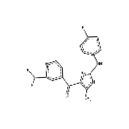 Nc1nc(Nc2ccc(F)cc2)sc1C(=O)c1ccnc(C(F)F)c1